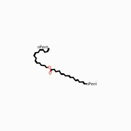 CCCCCC=CCC=CCC=CCC=CCCCC(=O)OCCCC/C=C\C/C=C\C/C=C\C/C=C\CCCCC